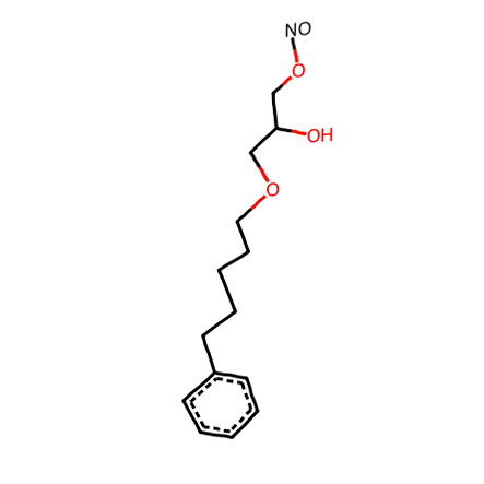 O=NOCC(O)COCCCCCc1ccccc1